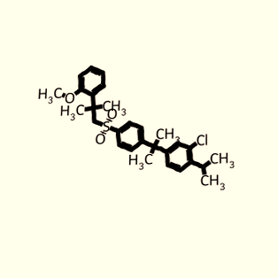 COc1ccccc1C(C)(C)CS(=O)(=O)c1ccc(C(C)(C)c2ccc(C(C)C)c(Cl)c2)cc1